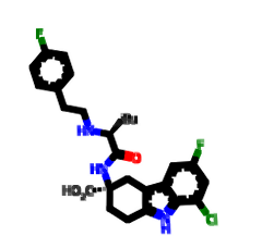 CCC(C)[C@H](NCCc1ccc(F)cc1)C(=O)N[C@]1(C(=O)O)CCc2[nH]c3c(Cl)cc(F)cc3c2C1